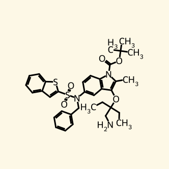 CCC(CC)(CN)Oc1c(C)n(C(=O)OC(C)(C)C)c2ccc(N(Cc3ccccc3)S(=O)(=O)c3cc4ccccc4s3)cc12